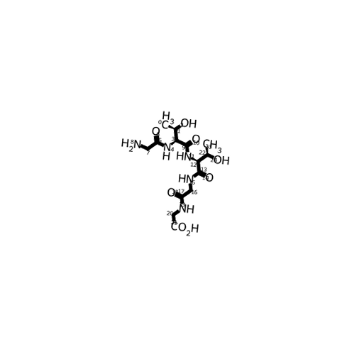 C[C@@H](O)[C@H](NC(=O)CN)C(=O)N[C@H](C(=O)NCC(=O)NCC(=O)O)[C@@H](C)O